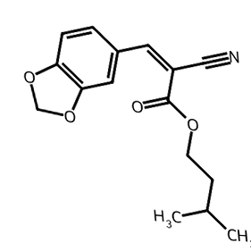 CC(C)CCOC(=O)C(C#N)=Cc1ccc2c(c1)OCO2